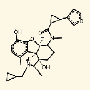 Cc1ccc(O)c2c1[C@]13CCN(CC4CC4)[C@H](C)[C@]1(O)CCC(N(C)C(=O)C1CC1c1ccoc1)[C@@H]3O2